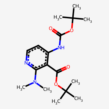 CN(C)c1nccc(NC(=O)OC(C)(C)C)c1C(=O)OC(C)(C)C